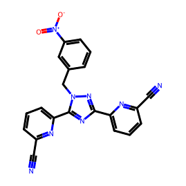 N#Cc1cccc(-c2nc(-c3cccc(C#N)n3)n(Cc3cccc([N+](=O)[O-])c3)n2)n1